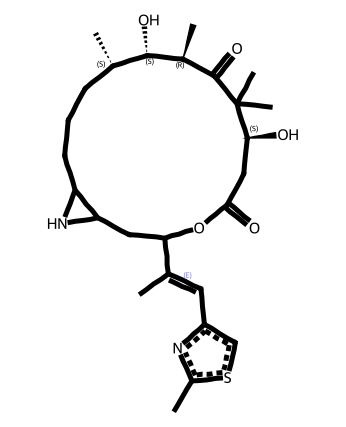 C/C(=C\c1csc(C)n1)C1CC2NC2CCC[C@H](C)[C@H](O)[C@@H](C)C(=O)C(C)(C)[C@@H](O)CC(=O)O1